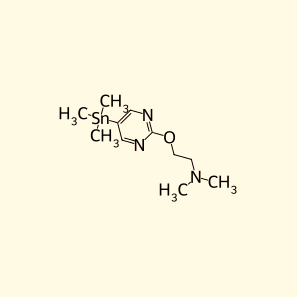 CN(C)CCOc1nc[c]([Sn]([CH3])([CH3])[CH3])cn1